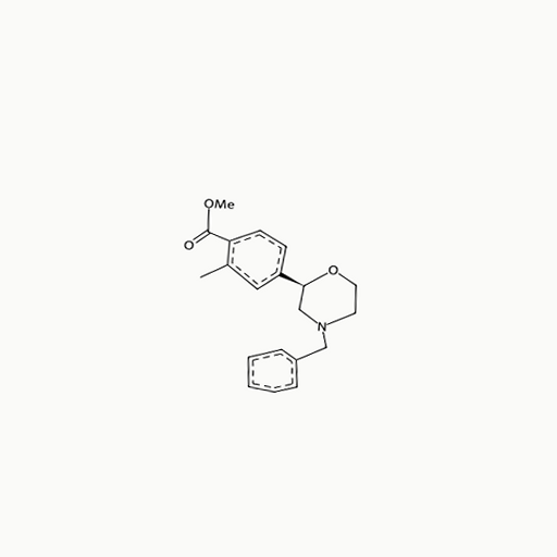 COC(=O)c1ccc([C@@H]2CN(Cc3ccccc3)CCO2)cc1C